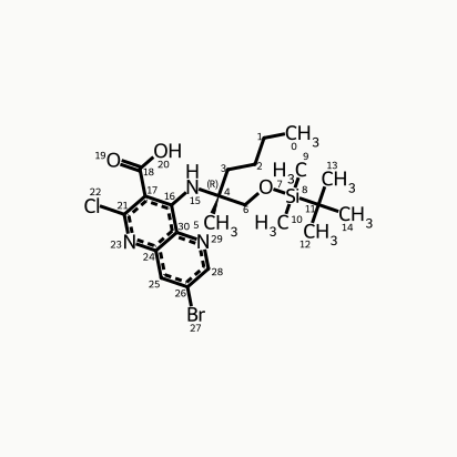 CCCC[C@](C)(CO[Si](C)(C)C(C)(C)C)Nc1c(C(=O)O)c(Cl)nc2cc(Br)cnc12